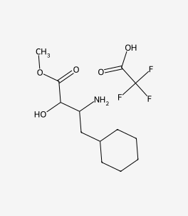 COC(=O)C(O)C(N)CC1CCCCC1.O=C(O)C(F)(F)F